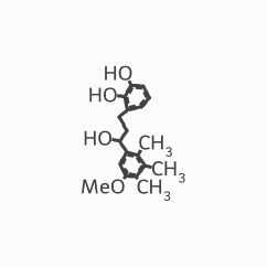 COc1cc(C(O)CCc2cccc(O)c2O)c(C)c(C)c1C